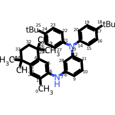 Cc1cc2c(cc1Nc1cccc(N(c3ccc(C(C)(C)C)cc3)c3ccc(C(C)(C)C)cc3)c1)C(C)(C)CCC2(C)C